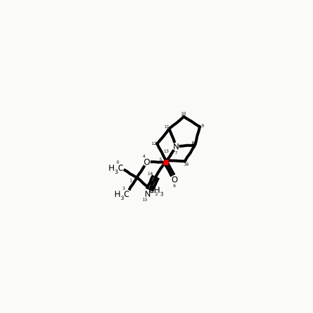 CC(C)(C)OC(=O)N1C2CCC1CC(C#N)C2